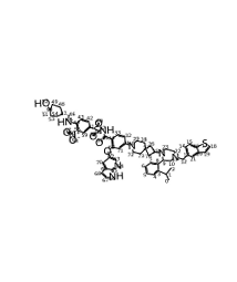 CC(C)c1ccccc1C1CN(Cc2ccc3sccc3c2)CCN1C1CC2(CCN(c3ccc(C(=O)NS(=O)(=O)c4ccc(NC[C@H]5CC[C@](C)(O)CC5)c([N+](=O)[O-])c4)c(Oc4cnc5[nH]ccc5c4)c3)CC2)C1